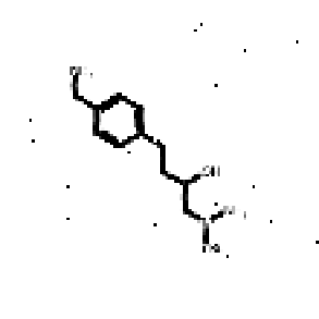 CCCCN(N)CC(O)CCc1ccc(CN)cc1